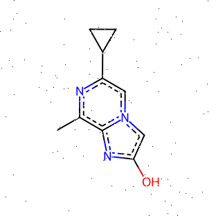 Cc1nc(C2CC2)cn2cc(O)nc12